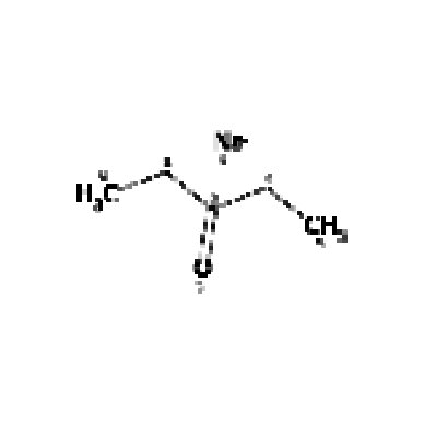 CCC(=O)CC.[Na]